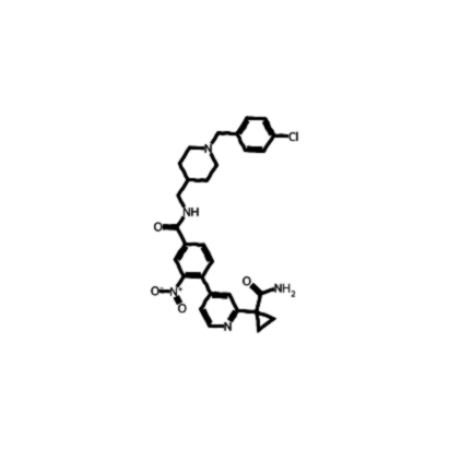 NC(=O)C1(c2cc(-c3ccc(C(=O)NCC4CCN(Cc5ccc(Cl)cc5)CC4)cc3[N+](=O)[O-])ccn2)CC1